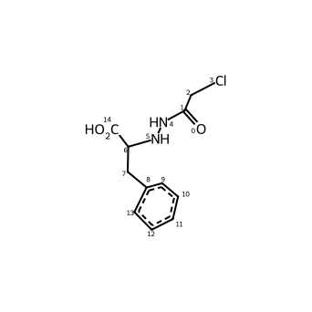 O=C(CCl)NNC(Cc1ccccc1)C(=O)O